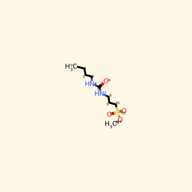 CCCCNC(=O)NCCCS(=O)(=O)OC